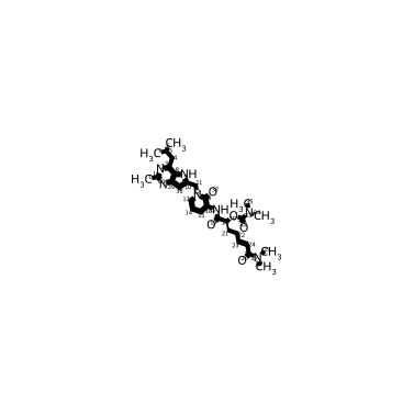 Cc1nc(CC(C)C)c2[nH]c(Cn3cccc(NC(=O)[C@H](CC/C=C/C(=O)N(C)C)OC(=O)N(C)C)c3=O)cc2n1